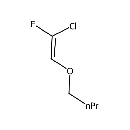 CCCCOC=C(F)Cl